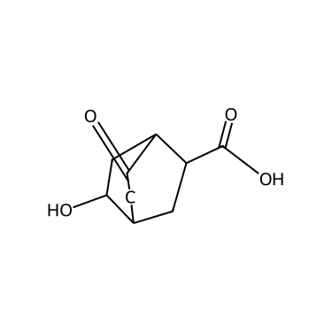 O=C(O)C1CC2CC(=O)C1CC2O